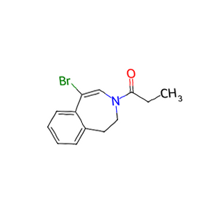 CCC(=O)N1C=C(Br)c2ccccc2CC1